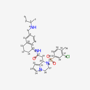 CCC(C)NCc1ccc2c(c1)CCCC2NC(=O)CC1c2cccn2CCN1S(=O)(=O)c1ccc(C)c(Cl)c1